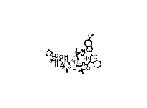 C=C[C@@H]1C[C@]1(NC(=O)[C@@H]1C[C@@]2(CN1C(=O)[C@@H](NC(=O)C(NC(=O)c1cc3cc(OC)ccc3[nH]1)C1CCCCC1)C(C)(C)C)C(C)(C)C21CCC1)C(=O)NS(=O)(=O)N1CCCC1